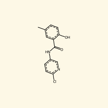 Cc1ccc(O)c(C(=O)Nc2ccc(Cl)nc2)c1